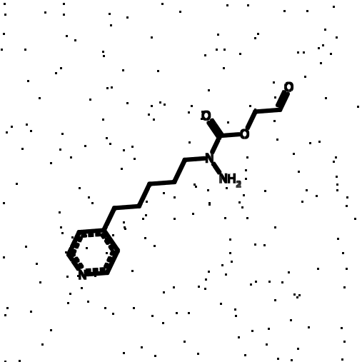 NN(CCCCCc1ccncc1)C(=O)OCC=O